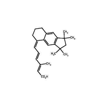 CC(/C=C/C=C1/CCCc2cc3c(cc21)C(C)(C)CC3(C)C)=C\C(=O)O